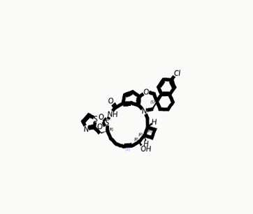 O=C1NS(=O)(=O)[C@@H](Cc2nccs2)CC/C=C\[C@H](O)[C@@H]2CC[C@H]2CN2C[C@@]3(CCCc4cc(Cl)ccc43)COc3ccc1cc32